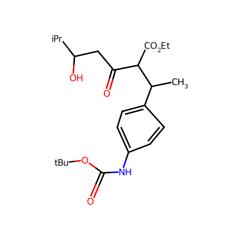 CCOC(=O)C(C(=O)CC(O)C(C)C)C(C)c1ccc(NC(=O)OC(C)(C)C)cc1